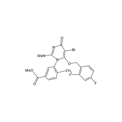 CNc1nc(=O)c(Br)c(OCc2ccc(F)cc2F)n1-c1cc(C(=O)OC)ccc1C